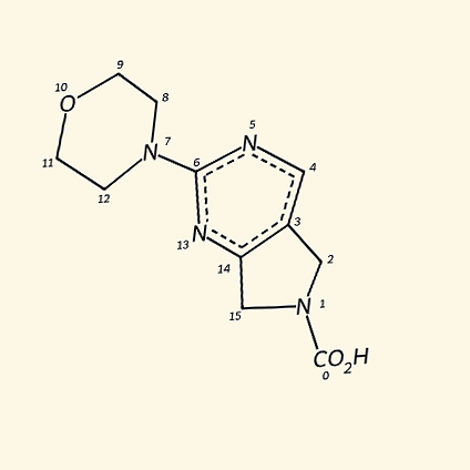 O=C(O)N1Cc2cnc(N3CCOCC3)nc2C1